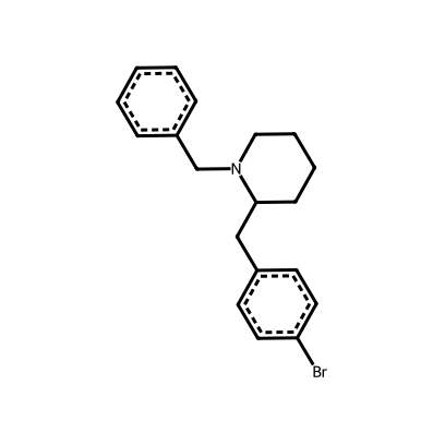 Brc1ccc(CC2CCCCN2Cc2ccccc2)cc1